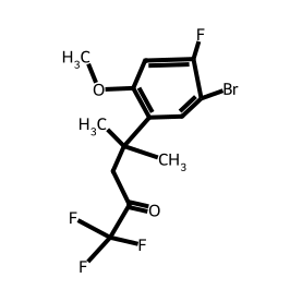 COc1cc(F)c(Br)cc1C(C)(C)CC(=O)C(F)(F)F